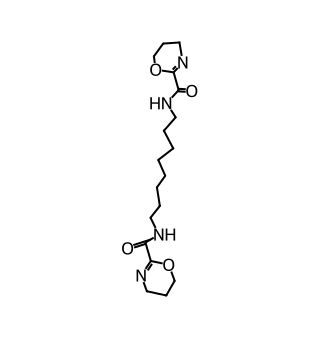 O=C(NCCCCCCCCNC(=O)C1=NCCCO1)C1=NCCCO1